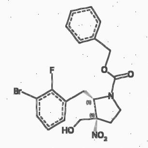 O=C(OCc1ccccc1)N1CC[C@](CO)([N+](=O)[O-])[C@@H]1Cc1cccc(Br)c1F